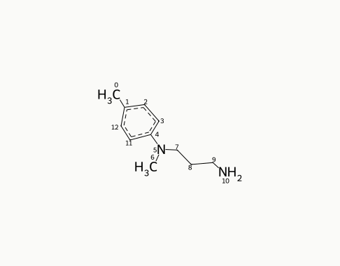 Cc1ccc(N(C)CCCN)cc1